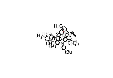 CC(C)(C)c1ccc(N2c3cc4c(cc3B3c5c2cc(C(C)(C)C)cc5N(c2ccc5c(c2)C(C)(C)CCC5(C)C)c2sc5cc6c(cc5c23)C2(C)CCC6(C)CC2)C(C)(C)CCC4(C)C)cc1